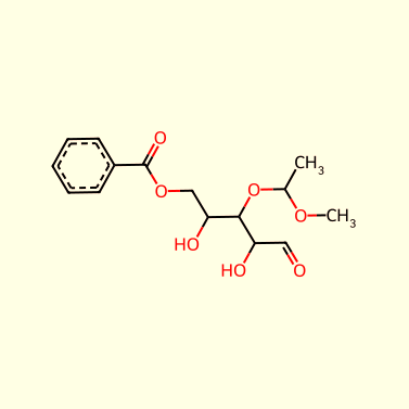 COC(C)OC(C(O)C=O)C(O)COC(=O)c1ccccc1